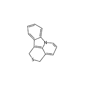 c1ccc2c(c1)c1c3c(cccn32)CSC1